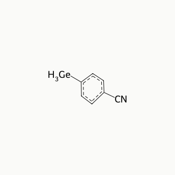 N#Cc1cc[c]([GeH3])cc1